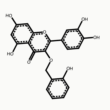 O=c1c(OCc2ccccc2O)c(-c2ccc(O)c(O)c2)oc2cc(O)cc(O)c12